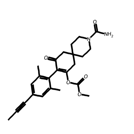 CC#Cc1cc(C)c(C2=C(OC(=O)OC)CC3(CCN(C(N)=O)CC3)CC2=O)c(C)c1